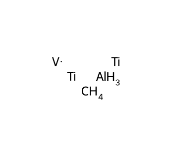 C.[AlH3].[Ti].[Ti].[V]